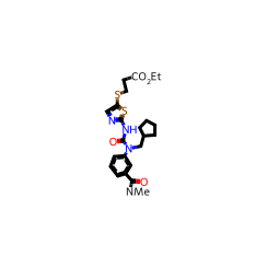 CCOC(=O)CCSc1cnc(NC(=O)N(CC2CCCC2)c2cccc(C(=O)NC)c2)s1